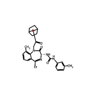 CCC1=N[C@@H](NC(=O)Nc2cccc(C)c2)C(=O)N(CC(=O)N2CC3CCC(CC3)C2)c2c(C)cccc21